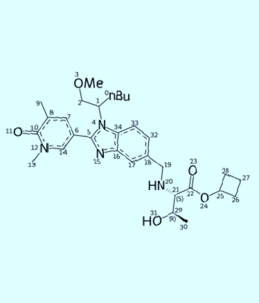 CCCCC(COC)n1c(-c2cc(C)c(=O)n(C)c2)nc2cc(CN[C@H](C(=O)OC3CCC3)[C@@H](C)O)ccc21